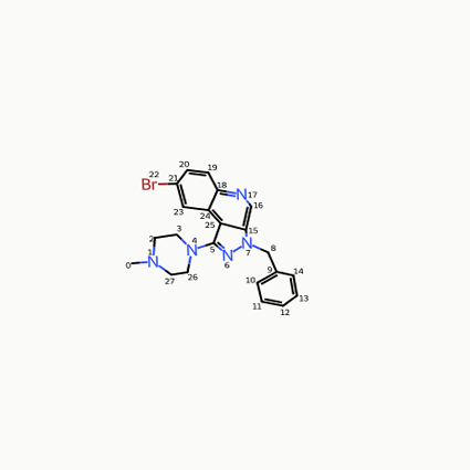 CN1CCN(c2nn(Cc3ccccc3)c3cnc4ccc(Br)cc4c23)CC1